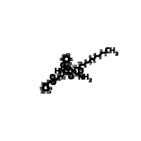 CCCCCCCCCCCCC[C@@H](CC(N)=O)OC(=O)[C@H](CCCC(=O)OCc1ccccc1)NC(=O)Oc1ccccc1